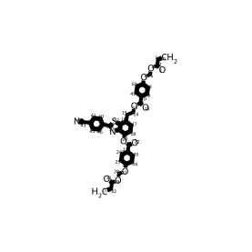 C=CC(=O)OCOc1ccc(C(=O)OCCc2ccc(OC(=O)c3ccc(OCOC(=O)C=C)cc3)c3nc(-c4ccc(C#N)cc4)sc23)cc1